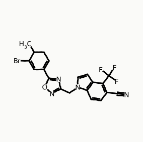 CC1CC=C(c2nc(Cn3ccc4c(C(F)(F)F)c(C#N)ccc43)no2)C=C1Br